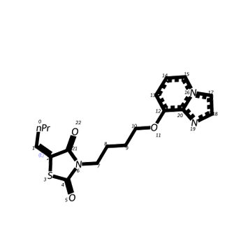 CCC/C=C1/SC(=O)N(CCCCOc2cccn3ccnc23)C1=O